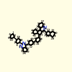 c1ccc(-c2ccc(-c3nc(-c4ccc(-c5cccc(-c6cc7c(-c8ccc9ccccc9c8)nc8ccccc8c7c7ccccc67)c5)cc4)c4ccccc4n3)cc2)cc1